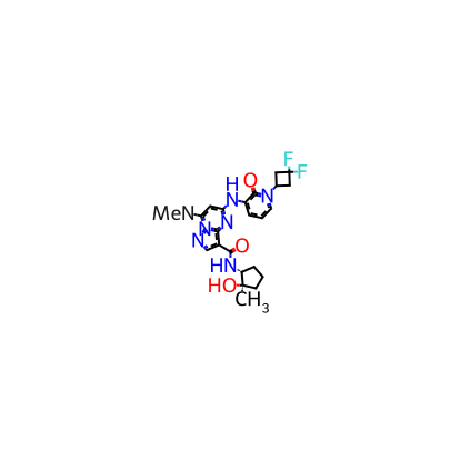 CNc1cc(Nc2cccn(C3CC(F)(F)C3)c2=O)nc2c(C(=O)N[C@@H]3CCC[C@@]3(C)O)cnn12